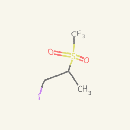 CC(CI)S(=O)(=O)C(F)(F)F